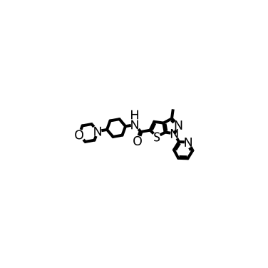 Cc1nn(-c2ccccn2)c2sc(C(=O)NC3CCC(N4CCOCC4)CC3)cc12